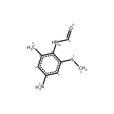 CSc1cc(N)cc(C)c1NC=O